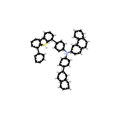 c1ccc(-c2cccc3c2sc2c(-c4ccc(N(c5ccc(-c6ccc7ccccc7c6)cc5)c5ccc6ccc7ccccc7c6c5)cc4)cccc23)cc1